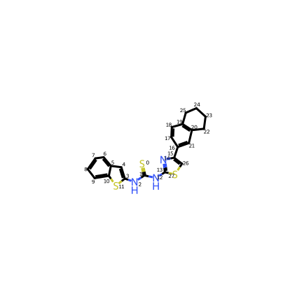 S=C(Nc1cc2ccccc2s1)Nc1nc(-c2ccc3c(c2)CCCC3)cs1